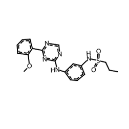 CCCS(=O)(=O)Nc1cccc(Nc2ncnc(-c3ccccc3OC)n2)c1